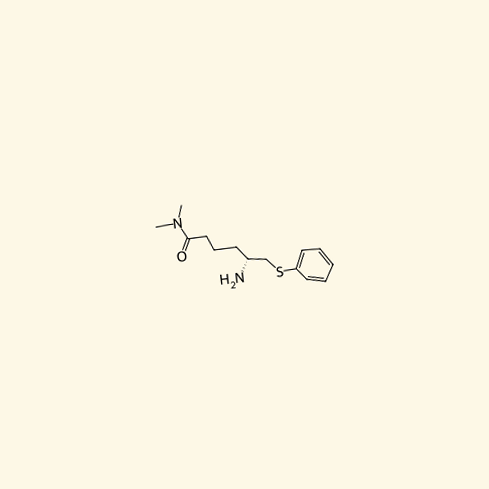 CN(C)C(=O)CCC[C@@H](N)CSc1ccccc1